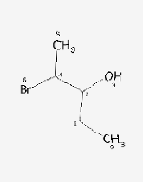 CCC(O)C(C)Br